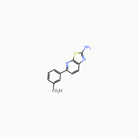 CCOC(=O)c1cccc(-c2ccc3nc(N)sc3n2)c1